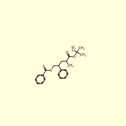 CC(CC(CSC(=S)c1ccccc1)c1ccccc1)C(=O)OC(C)(C)C